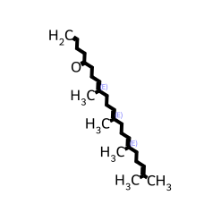 C=CCCC(=O)CC/C=C(\C)CC/C=C(\C)CC/C=C(\C)CCC=C(C)C